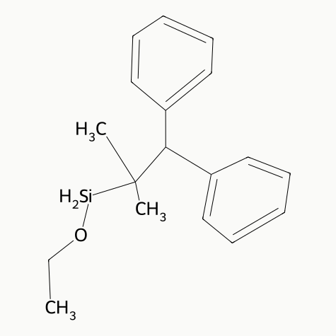 CCO[SiH2]C(C)(C)C(c1ccccc1)c1ccccc1